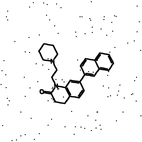 O=C1CCc2ccc(-c3ccc4ccccc4c3)cc2N1CCN1CCCCC1